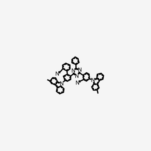 Cc1ccc2c(c1)c1ccccc1n2-c1ccc(-c2nc(-c3ccccc3)nc(-c3ccc(-n4c5ccccc5c5cc(C)ccc54)cc3-c3ccccc3C#N)n2)c(C#N)c1